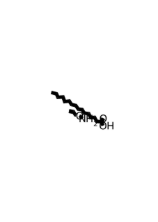 C=CCON.CCCCCCCCCCCCCCCC(=O)O